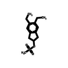 CCc1cc2c(cc1CC)CC(OS(C)(=O)=O)C2